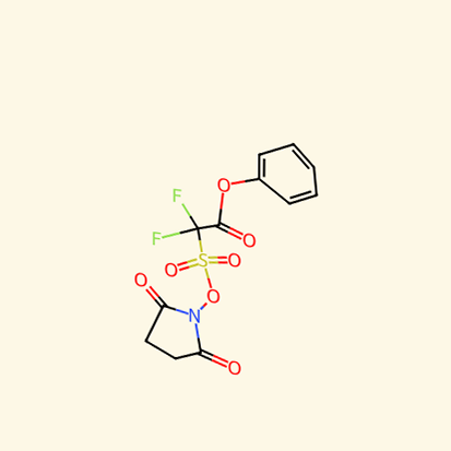 O=C1CCC(=O)N1OS(=O)(=O)C(F)(F)C(=O)Oc1ccccc1